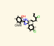 C=C/C(Cl)=C\C=C\[C@@H]1NC(c2c(O)cccc2OC)=N[C@@H]1c1ccc(Cl)cc1